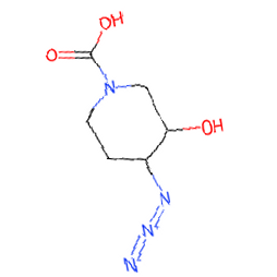 [N-]=[N+]=NC1CCN(C(=O)O)CC1O